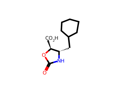 O=C1N[C@@H](CC2CCCCC2)[C@H](C(=O)O)O1